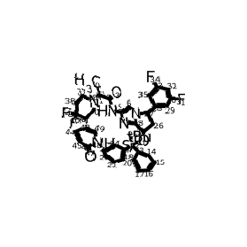 C[C@@H](C(=O)Nc1cn2c(n1)C(O[Si](c1ccccc1)(c1ccccc1)C(C)(C)C)CC2c1cc(F)cc(F)c1)N1CCC(F)(F)[C@@H](c2ccc(=O)[nH]c2)C1